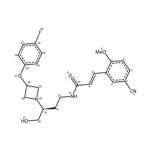 COc1ccc(C#N)cc1/C=C/C(=O)NCC[C@@H](CO)N1CC(Oc2ccc(F)cc2)C1